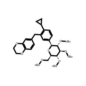 CCCCOC[C@H]1S[C@@H](c2ccc(C3CC3)c(Cc3ccc4c(c3)OCCO4)c2)[C@H](OCCCC)[C@@H](OCCCC)[C@@H]1OCCCC